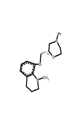 CC(C)N1CCO[C@H](COc2cccc3c2N(C)CCC3)C1